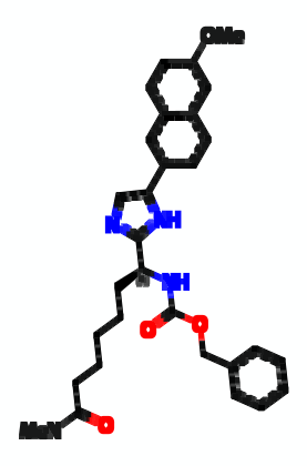 CNC(=O)CCCCC[C@H](NC(=O)OCc1ccccc1)c1ncc(-c2ccc3cc(OC)ccc3c2)[nH]1